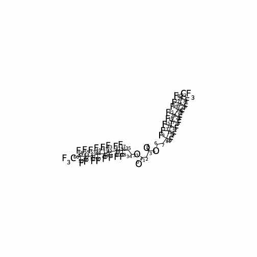 O=C(CC(=O)OCCC(F)(F)C(F)(F)C(F)(F)C(F)(F)C(F)(F)C(F)(F)C(F)(F)C(F)(F)C(F)(F)F)OCCC(F)(F)C(F)(F)C(F)(F)C(F)(F)C(F)(F)C(F)(F)C(F)(F)C(F)(F)C(F)(F)F